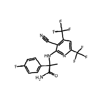 CC(Nc1nc(C(F)(F)F)cc(C(F)(F)F)c1C#N)(C(N)=O)c1ccc(F)cc1